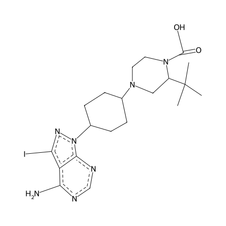 CC(C)(C)C1CN(C2CCC(n3nc(I)c4c(N)ncnc43)CC2)CCN1C(=O)O